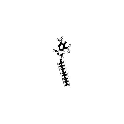 Cc1c([N+](=O)[O-])cc([N+](=O)[O-])c(OC(=O)OCC(F)(F)C(F)(F)C(F)(F)C(F)(F)C(F)(F)C(F)(F)C(F)(F)C(F)F)c1[N+](=O)[O-]